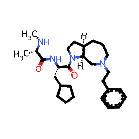 CN[C@@H](C)C(=O)N[C@@H](CC1CCCC1)C(=O)N1CC[C@H]2CCCN(CCc3ccccc3)C[C@H]21